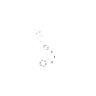 C=C(/N=C(N)\N=C(/N)c1noc(C2CCN(S(=O)(=O)C(C)C)CC2)n1)Nc1ccccc1